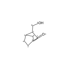 O=C1C2CCC(C2)C1CO